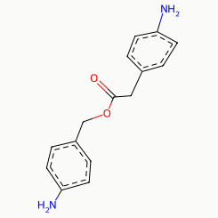 Nc1ccc(COC(=O)Cc2ccc(N)cc2)cc1